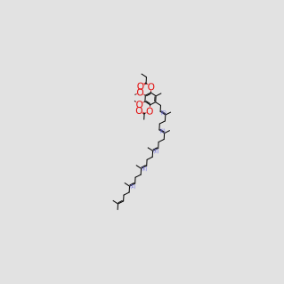 CCC(=O)Oc1c(C)c(C/C=C(\C)CC/C=C(\C)CC/C=C(\C)CC/C=C(\C)CC/C=C(\C)CCC=C(C)C)c(OC(C)=O)c(OC)c1OC